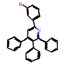 Brc1cccc(-c2cc(-c3ccccc3)c(-c3ccccc3)c(-c3ccccc3)n2)c1